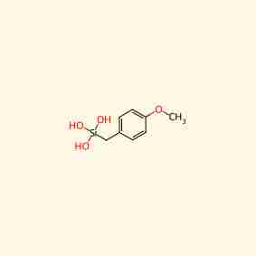 COc1ccc(C[Si](O)(O)O)cc1